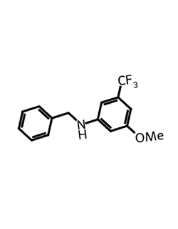 COc1cc(NCc2ccccc2)cc(C(F)(F)F)c1